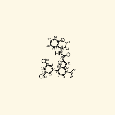 CC(C)c1ccc(-c2cc(Cl)cc(Cl)c2)c2oc(C(=O)N[C@H]3CCOc4ccccc43)cc12